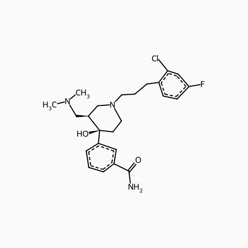 CN(C)C[C@H]1CN(CCCc2ccc(F)cc2Cl)CC[C@]1(O)c1cccc(C(N)=O)c1